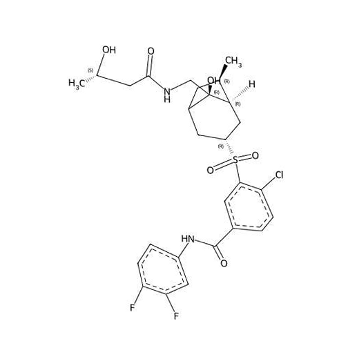 C[C@H](O)CC(=O)NC[C@@]1(O)C2C[C@@H](S(=O)(=O)c3cc(C(=O)Nc4ccc(F)c(F)c4)ccc3Cl)C[C@@H]1[C@H](C)C2